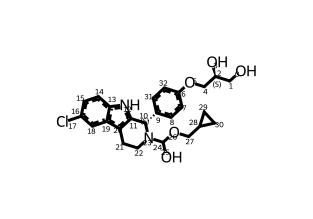 OC[C@H](O)COc1ccc([C@H]2c3[nH]c4ccc(Cl)cc4c3CCN2C(O)OCC2CC2)cc1